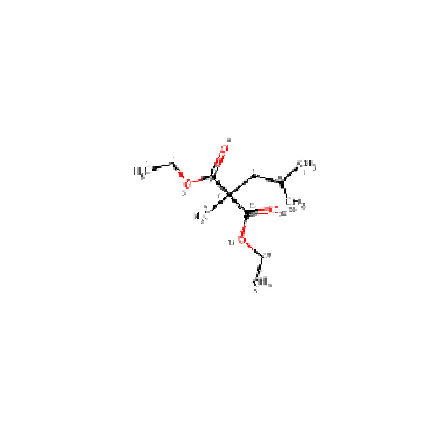 CCOC(=O)C(C)(CC(C)C)C(=O)OCC